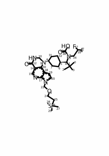 CC(C)(C)C([C@H]1CC[C@H](N2CNC(=O)c3cnc4c(ccn4COCC[Si](C)(C)C)c32)CC1)N(CC(F)F)C(=O)O